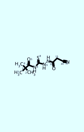 CC(C)(C)C(=O)NC(=S)NNC(=O)CC#N